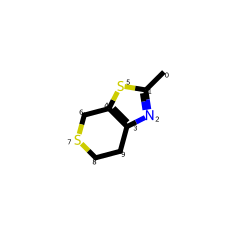 Cc1nc2c(s1)CSCC2